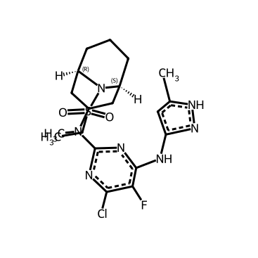 CCS(=O)(=O)N1[C@@H]2CCC[C@H]1CC(N(C)c1nc(Cl)c(F)c(Nc3cc(C)[nH]n3)n1)C2